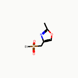 CCS(=O)(=O)Cc1coc(C)n1